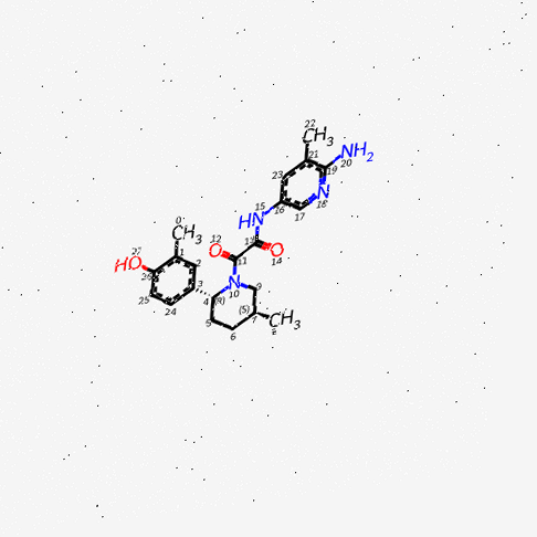 Cc1cc([C@H]2CC[C@H](C)CN2C(=O)C(=O)Nc2cnc(N)c(C)c2)ccc1O